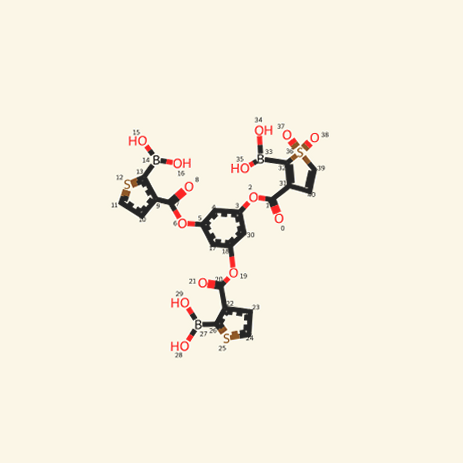 O=C(Oc1cc(OC(=O)c2ccsc2B(O)O)cc(OC(=O)c2ccsc2B(O)O)c1)C1=C(B(O)O)S(=O)(=O)C=C1